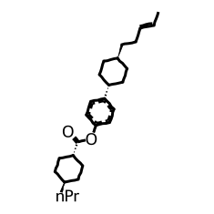 CC=CCC[C@H]1CC[C@H](c2ccc(OC(=O)[C@H]3CC[C@H](CCC)CC3)cc2)CC1